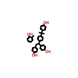 CC(C)(c1ccc(O)cc1)c1ccc(C(Cc2ccc(O)cc2)c2ccc(O)cc2)cc1.Cc1ccccc1O